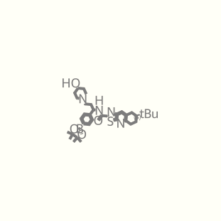 CC(C)(C)[C@H]1CCc2nc3sc(C(=O)NC(CCN4CCC(O)CC4)c4ccc(B5OC(C)(C)C(C)(C)O5)cc4)nc3cc2C1